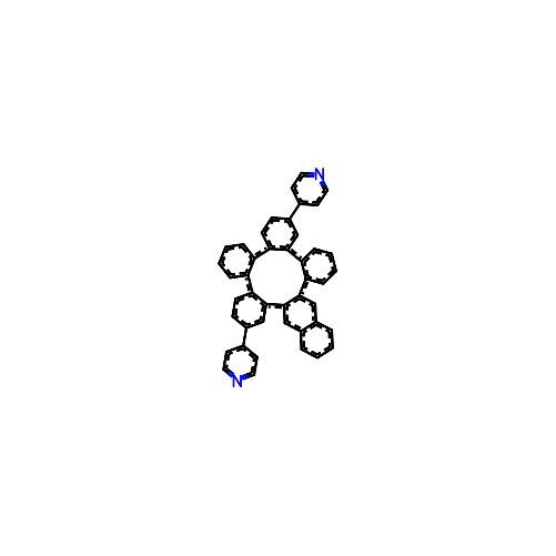 c1ccc2cc3c4cc(-c5ccncc5)ccc4c4ccccc4c4ccc(-c5ccncc5)cc4c4ccccc4c3cc2c1